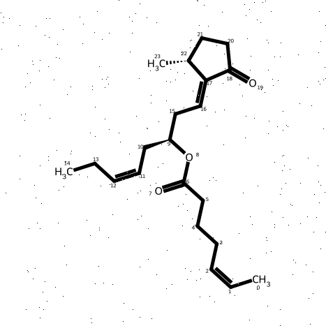 C/C=C\CCCC(=O)O[C@@H](C/C=C\CC)C/C=C1/C(=O)CC[C@H]1C